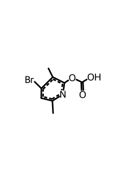 Cc1cc(Br)c(C)c(OC(=O)O)n1